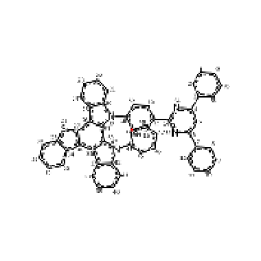 c1ccc(-c2cc(-c3ccccc3)nc(-c3ccc(-n4c5ccccc5c5c6sc7ccccc7c6c6c7ccccc7n(-c7ccccc7)c6c54)cc3)n2)cc1